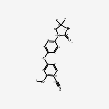 COc1cc(Oc2ccc(N3CC(C)(C)NC3=O)cc2)ccc1C#N